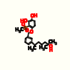 CC(CCCC(C)(C)O)c1cccc(COc2ccc(O)c(O)c2S(C)(=O)=O)c1